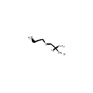 [2H]C(C)(C)COCCN